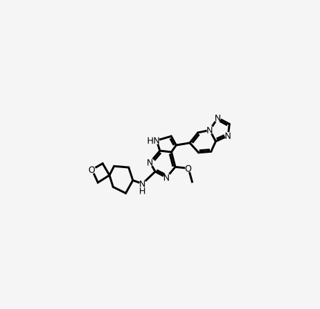 COc1nc(NC2CCC3(CC2)COC3)nc2[nH]cc(-c3ccc4ncnn4c3)c12